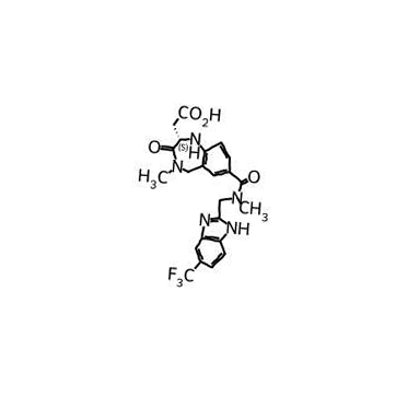 CN(Cc1nc2cc(C(F)(F)F)ccc2[nH]1)C(=O)c1ccc2c(c1)CN(C)C(=O)[C@H](CC(=O)O)N2